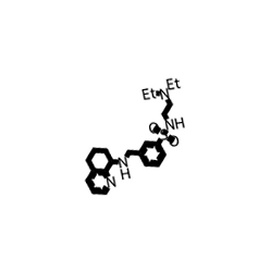 CCN(CC)CCNS(=O)(=O)c1cccc(CNC2CCCc3cccnc32)c1